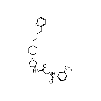 O=C(CNC(=O)c1cccc(C(F)(F)F)c1)N[C@@H]1CCN(C2CCC(CCCCc3ccccn3)CC2)C1